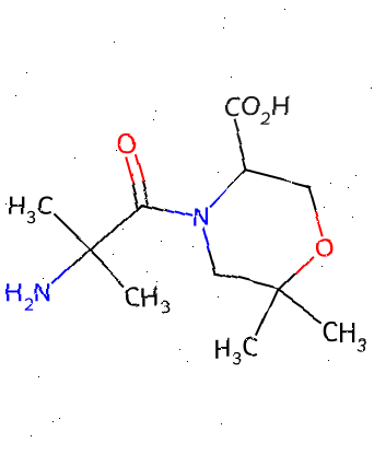 CC1(C)CN(C(=O)C(C)(C)N)C(C(=O)O)CO1